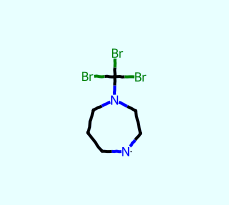 BrC(Br)(Br)N1CCC[N]CC1